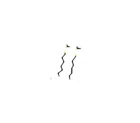 CCCCCCCCCCCCCCCCSC(C)C(=O)[O-].CCCCCCCCCCCCCCCCSC(C)C(=O)[O-].[Zn+2]